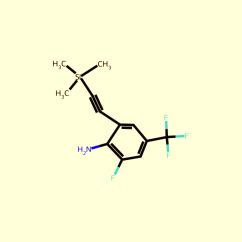 C[Si](C)(C)C#Cc1cc(C(F)(F)F)cc(F)c1N